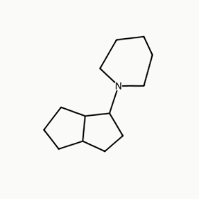 C1CCN(C2CCC3CCCC32)CC1